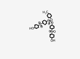 Cc1ccc(OP(=O)(Oc2ccc(S(=O)(=O)c3ccc(O)cc3)cc2)Oc2ccc(S(=O)(=O)c3ccc(O)cc3)cc2)cc1